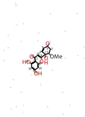 COC1CC(=O)C=CC1(O)c1cc(=O)c2c(O)cc(O)cc2o1